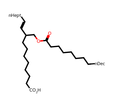 CCCCCCC/C=C/C(CCCCCCCC(=O)O)COC(=O)CCCCCCCCCCCCCCCCC